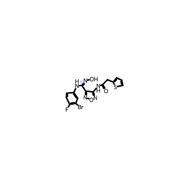 O=C(Cc1cccs1)Nc1nonc1/C(=N\O)Nc1ccc(F)c(Br)c1